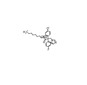 CCCCCCCCNC(=O)C(Cn1cncn1)(c1ccc(F)cc1)c1ccc(Cl)cc1Cl